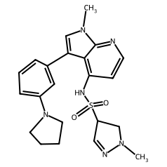 CN1CC(S(=O)(=O)Nc2ccnc3c2c(-c2cccc(N4CCCC4)c2)cn3C)C=N1